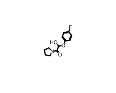 O=C(C(O)Oc1ccc(F)cc1)N1CCCC1